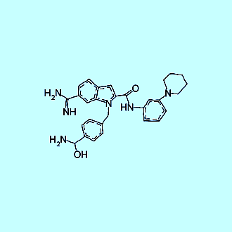 N=C(N)c1ccc2cc(C(=O)Nc3cccc(N4CCCCC4)c3)n(Cc3ccc(C(N)O)cc3)c2c1